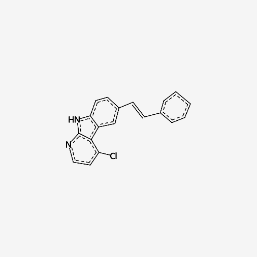 Clc1ccnc2[nH]c3ccc(C=Cc4ccccc4)cc3c12